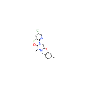 Cc1ccc(CN2C(=O)CN(c3ncc(Cl)cc3F)C(=O)[C@@H]2C)cc1